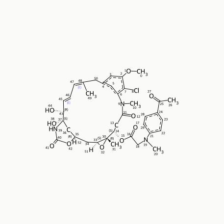 COc1cc2cc(c1Cl)N(C)C(=O)C[C@H](OC(=O)CN(C)c1ccc(C(C)=O)cc1)[C@]1(C)O[C@H]1C[C@@H]1C[C@@](O)(NC(=O)O1)[C@H](O)/C=C/C=C(\C)C2